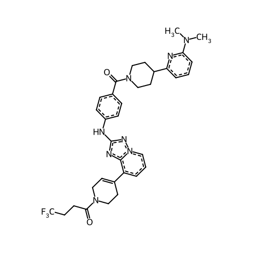 CN(C)c1cccc(C2CCN(C(=O)c3ccc(Nc4nc5c(C6=CCN(C(=O)CCC(F)(F)F)CC6)cccn5n4)cc3)CC2)n1